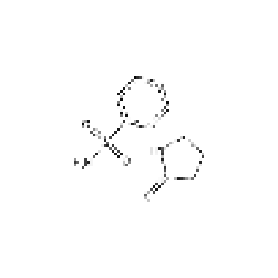 NS(=O)(=O)c1ccccc1.O=C1CCCN1